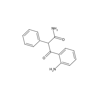 NC(=O)C(C(=O)c1ccccc1N)c1ccccc1